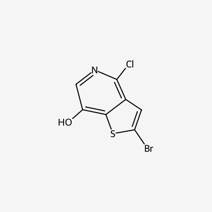 Oc1cnc(Cl)c2cc(Br)sc12